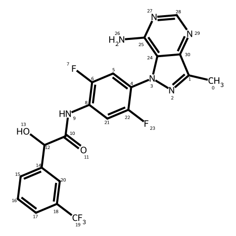 Cc1nn(-c2cc(F)c(NC(=O)C(O)c3cccc(C(F)(F)F)c3)cc2F)c2c(N)ncnc12